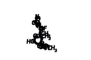 C/C(=C\c1cc(F)cc(N2CCN(C(=O)c3cnco3)CC2)c1)[C@H]1OC(=O)C[C@H](O)CC[C@H](C)[C@H](OC(=O)N2CCN(C)CC2)/C=C/[C@@H]1C